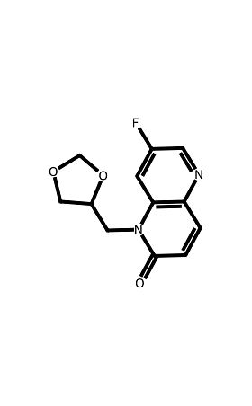 O=c1ccc2ncc(F)cc2n1CC1COCO1